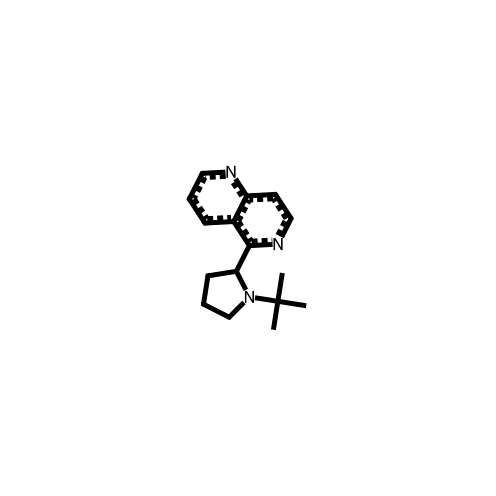 CC(C)(C)N1CCCC1c1nccc2ncccc12